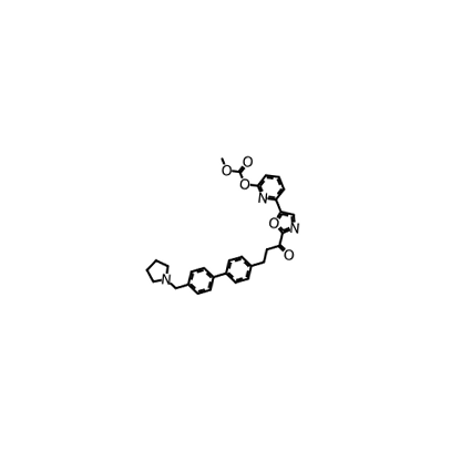 COC(=O)Oc1cccc(-c2cnc(C(=O)CCc3ccc(-c4ccc(CN5CCCC5)cc4)cc3)o2)n1